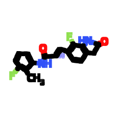 Cc1c(F)cccc1NC(=O)/C=C/c1ccc2c(c1F)NC(=O)C2